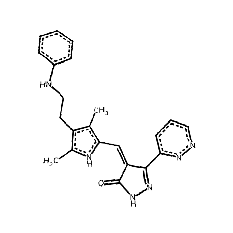 Cc1[nH]c(C=C2C(=O)NN=C2c2cccnn2)c(C)c1CCNc1ccccc1